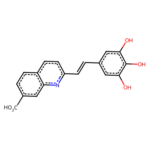 O=C(O)c1ccc2ccc(/C=C/c3cc(O)c(O)c(O)c3)nc2c1